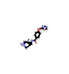 O=C(NC1CC2CNC1C2)c1ccc(Oc2nncs2)cc1